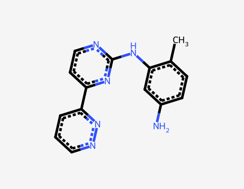 Cc1ccc(N)cc1Nc1nccc(-c2cccnn2)n1